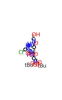 CC(C)(C)OC(=O)c1cc2cc(NC(=O)[C@H](Cc3ccc(NC(=O)N4CCC(CO)CC4)cc3)N3CCN(c4cc(Cl)ccc4-n4cnnn4)C(=O)C3=O)ccc2n1C(=O)OC(C)(C)C